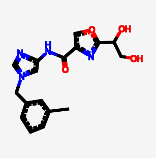 Cc1cccc(Cn2cnc(NC(=O)c3coc(C(O)CO)n3)c2)c1